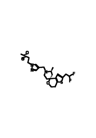 C[C@H]1C[C@@]2(CCN1Cc1cnn(CCS(C)(=O)=O)c1)OCCc1sc(CC(F)F)cc12